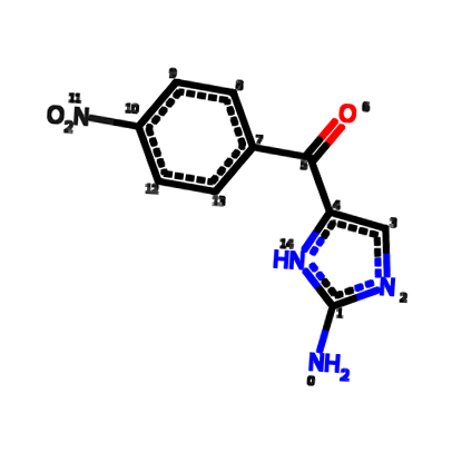 Nc1ncc(C(=O)c2ccc([N+](=O)[O-])cc2)[nH]1